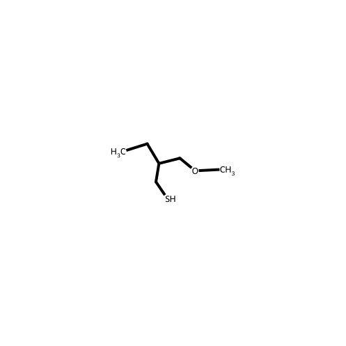 CCC(CS)COC